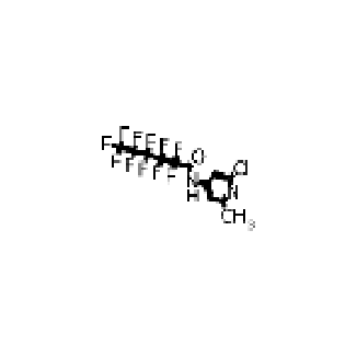 Cc1cc(NC(=O)C(F)(F)C(F)(F)C(F)(F)C(F)(F)C(F)(F)F)cc(Cl)n1